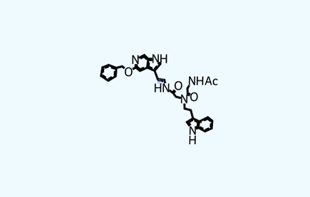 CC(=O)NCC(=O)N(CCc1c[nH]c2ccccc12)CC(=O)N/C=C/c1c[nH]c2cnc(OCc3ccccc3)cc12